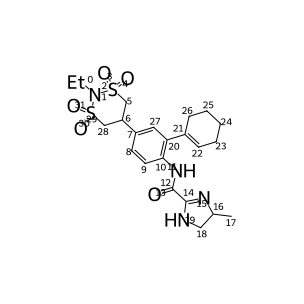 CCN1S(=O)(=O)CC(c2ccc(NC(=O)C3=NC(C)CN3)c(C3=CCCCC3)c2)CS1(=O)=O